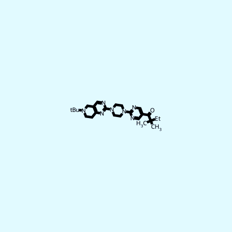 CCC(C)(C)C(=O)c1cnc(N2CCN(c3ncc4c(n3)CCN(C(C)(C)C)C4)CC2)nc1